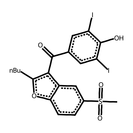 CCCCc1oc2ccc(S(C)(=O)=O)cc2c1C(=O)c1cc(I)c(O)c(I)c1